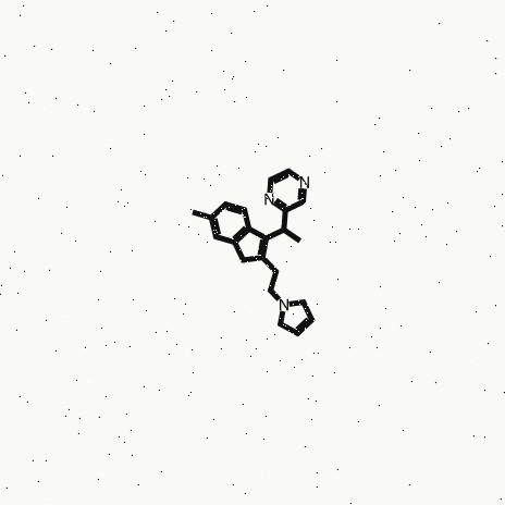 Cc1ccc2c(c1)CC(CCN1CC=CC1)=C2C(C)c1cnccn1